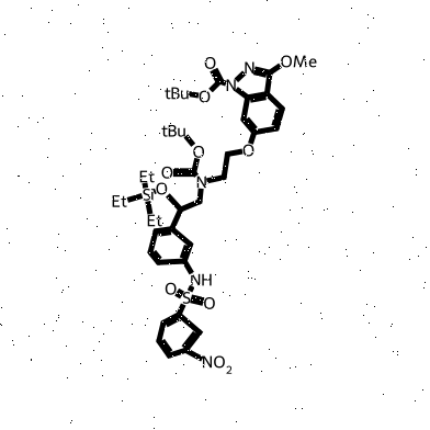 CC[Si](CC)(CC)OC(CN(CCOc1ccc2c(OC)nn(C(=O)OC(C)(C)C)c2c1)C(=O)OC(C)(C)C)c1cccc(NS(=O)(=O)c2cccc([N+](=O)[O-])c2)c1